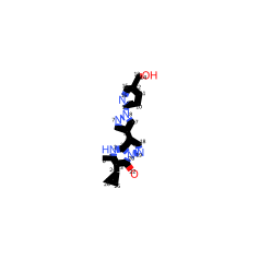 Cc1[nH]c2c(-c3cnn(-c4ccc(CO)cn4)c3)cnn2c(=O)c1C1CC1